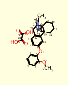 COc1ccccc1Oc1ccc2c(c1)[C@@]13CCCC[C@H]1[C@@H](C2)N(C)CC3.O=C(O)C(=O)O